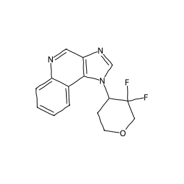 FC1(F)COCCC1n1cnc2cnc3ccccc3c21